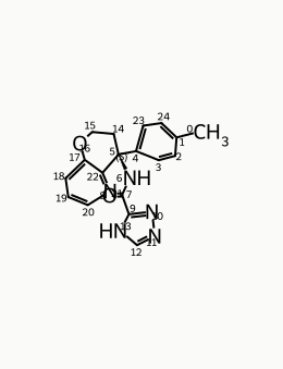 Cc1ccc([C@@]2(NC(=O)c3nnc[nH]3)CCOc3cccnc32)cc1